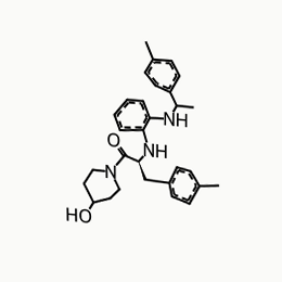 Cc1ccc(C[C@H](Nc2ccccc2NC(C)c2ccc(C)cc2)C(=O)N2CCC(O)CC2)cc1